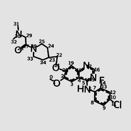 COc1cc2c(Nc3ccc(Cl)cc3F)ncnc2cc1OCC1CCN(C(=O)CN(C)C)CC1